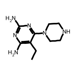 CCc1c(N)nc(N)nc1N1CCNCC1